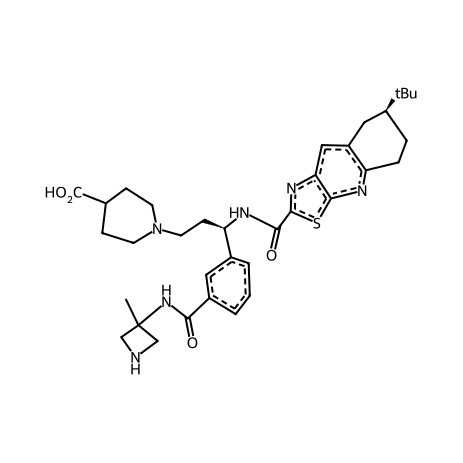 CC1(NC(=O)c2cccc([C@@H](CCN3CCC(C(=O)O)CC3)NC(=O)c3nc4cc5c(nc4s3)CC[C@H](C(C)(C)C)C5)c2)CNC1